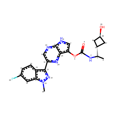 CC(NC(=O)Oc1c[nH]c2ncc(-c3nn(C)c4cc(F)ccc34)nc12)[C@H]1C[C@H](O)C1